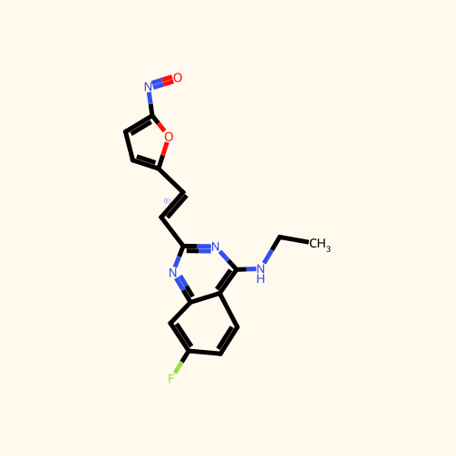 CCNc1nc(/C=C/c2ccc(N=O)o2)nc2cc(F)ccc12